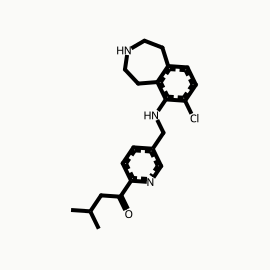 CC(C)CC(=O)c1ccc(CNc2c(Cl)ccc3c2CCNCC3)cn1